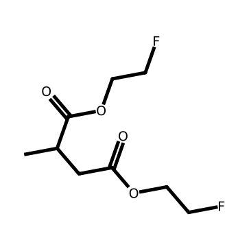 CC(CC(=O)OCCF)C(=O)OCCF